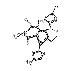 Cc1csc(-c2c3c(=O)n(C)c(=O)n(C)c3c3n2CCSC3c2ccc(Cl)o2)n1